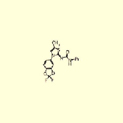 Cc1cn(-c2ccc3c(c2)OC(F)(F)O3)c(=NC(=O)NC(C)C)s1